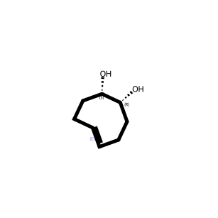 O[C@@H]1CC/C=C/CC[C@@H]1O